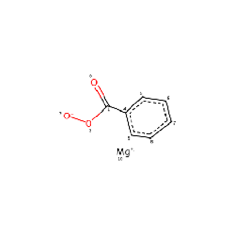 O=C(O[O-])c1ccccc1.[Mg+]